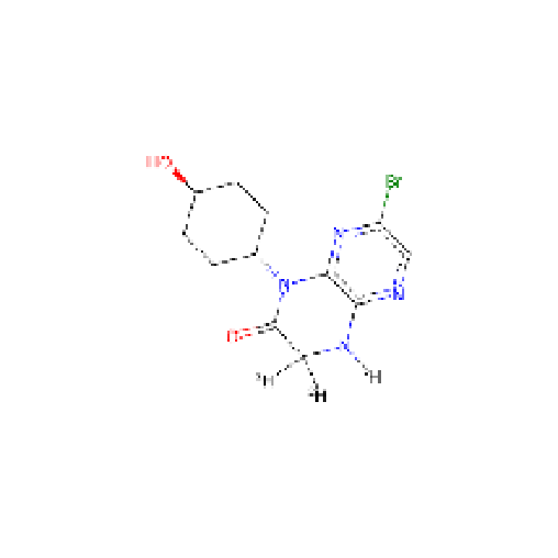 [2H]N1c2ncc(Br)nc2N([C@H]2CC[C@H](O)CC2)C(=O)C1([2H])[2H]